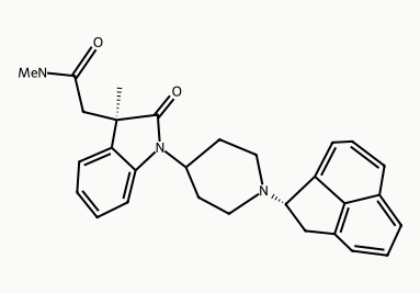 CNC(=O)C[C@@]1(C)C(=O)N(C2CCN([C@H]3Cc4cccc5cccc3c45)CC2)c2ccccc21